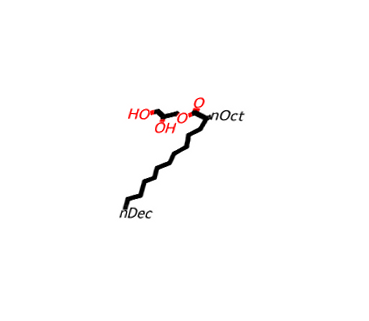 CCCCCCCCCCCCCCCCCCCCC(CCCCCCCC)C(=O)OCC(O)CO